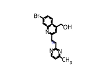 Cc1ccnc(/C=C/c2cc(CO)c3ccc(Br)cc3n2)n1